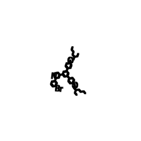 CCCCC(CC)COc1ccc(-c2cc(-c3ccc(OCC(CC)CCCC)cc3)cc(-c3ccnc(-c4cccc(Br)c4)c3)c2)cc1